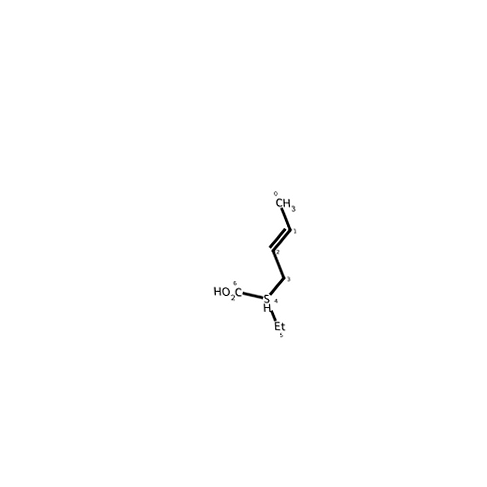 C/C=C/C[SH](CC)C(=O)O